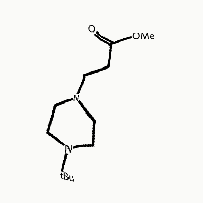 COC(=O)CCN1CCN(C(C)(C)C)CC1